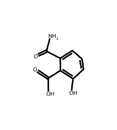 NC(=O)c1cccc(O)c1C(=O)O